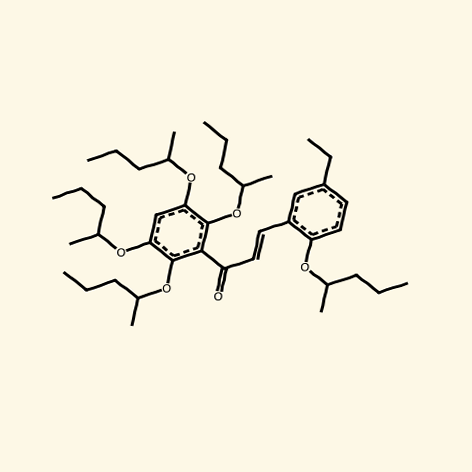 CCCC(C)Oc1ccc(CC)cc1C=CC(=O)c1c(OC(C)CCC)c(OC(C)CCC)cc(OC(C)CCC)c1OC(C)CCC